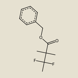 CC(F)(F)C(C)(C)C(=O)OCc1ccccc1